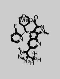 [2H]C([2H])([2H])c1nnn(C)c1-c1cnc2c3c(c(C(=O)OC)nn3C)n([C@H](c3ncccc3F)C3CCOCC3)c2c1